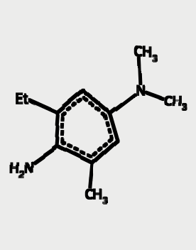 CCc1cc(N(C)C)cc(C)c1N